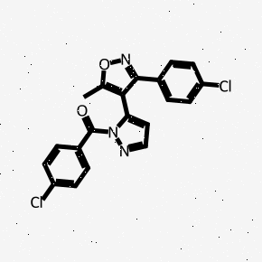 Cc1onc(-c2ccc(Cl)cc2)c1-c1ccnn1C(=O)c1ccc(Cl)cc1